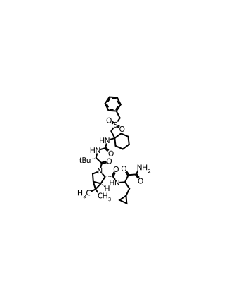 CC(C)(C)[C@H](NC(=O)NC1(CS(=O)(=O)Cc2ccccc2)CCCCC1)C(=O)N1CC2[C@@H]([C@H]1C(=O)NC(CC1CC1)C(=O)C(N)=O)C2(C)C